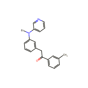 CCN(c1cccnc1)c1cccc(CC(=O)c2cccc(C)c2)c1